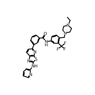 CCN1CCN(Cc2ccc(NC(=O)c3cccc(-c4ccc5nc(Nc6ccccn6)sc5n4)c3)cc2C(F)(F)F)CC1